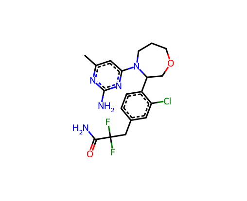 Cc1cc(N2CCCOCC2c2ccc(CC(F)(F)C(N)=O)cc2Cl)nc(N)n1